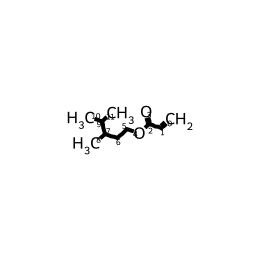 C=CC(=O)OCCC(C)C(C)C